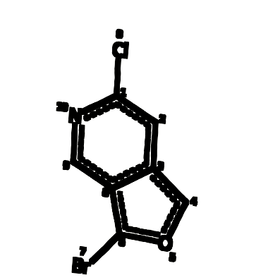 Clc1cc2coc(Br)c2cn1